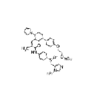 CCCCOCCOc1ccc(-c2ccc(-n3cccc3)c(C=C(C)C(=O)Nc3ccc([S+]([O-])Cc4cncn4CCC)cc3)c2)cc1